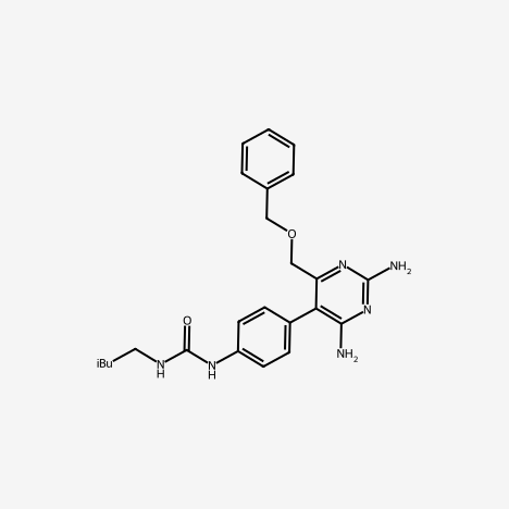 CCC(C)CNC(=O)Nc1ccc(-c2c(N)nc(N)nc2COCc2ccccc2)cc1